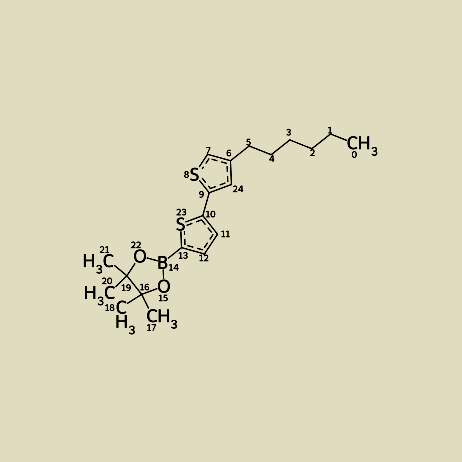 CCCCCCc1csc(-c2ccc(B3OC(C)(C)C(C)(C)O3)s2)c1